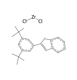 CC(C)(C)c1cc(C2=Cc3ccccc3[CH]2)cc(C(C)(C)C)c1.[Cl][Zr][Cl]